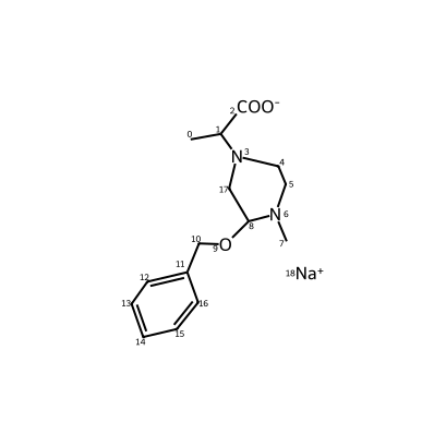 CC(C(=O)[O-])N1CCN(C)C(OCc2ccccc2)C1.[Na+]